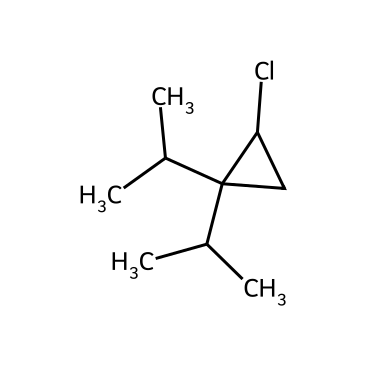 CC(C)C1(C(C)C)CC1Cl